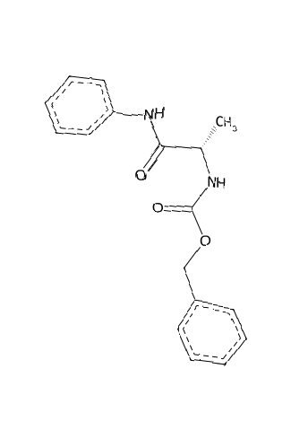 C[C@H](NC(=O)OCc1ccccc1)C(=O)Nc1ccccc1